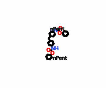 CCCCCc1ccccc1OC(=O)Nc1ccc(Cc2ccc(NC(=O)Oc3ccccc3CCCCC)cc2)cc1